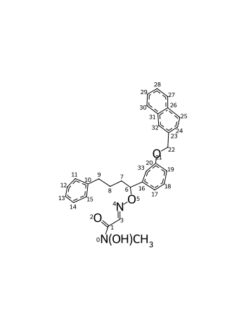 CN(O)C(=O)C=NOC(CCCc1ccccc1)c1cccc(OCc2ccc3ccccc3c2)c1